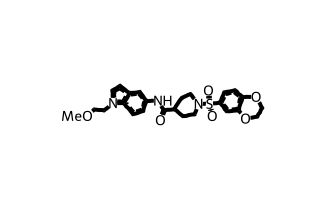 COCCn1ccc2cc(NC(=O)C3CCN(S(=O)(=O)c4ccc5c(c4)OCCO5)CC3)ccc21